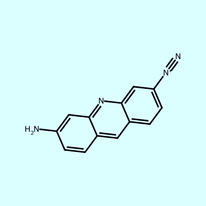 N#[N+]c1ccc2cc3ccc(N)cc3nc2c1